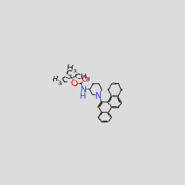 CC(C)(C)OC(=O)NC1CCCN(c2cc3ccccc3c3ccc4c(c23)CCCC4)C1